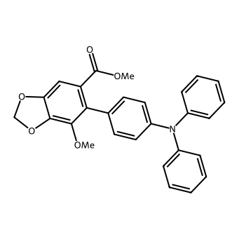 COC(=O)c1cc2c(c(OC)c1-c1ccc(N(c3ccccc3)c3ccccc3)cc1)OCO2